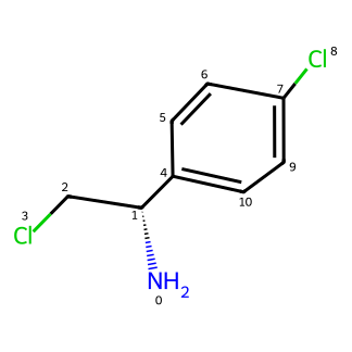 N[C@H](CCl)c1ccc(Cl)cc1